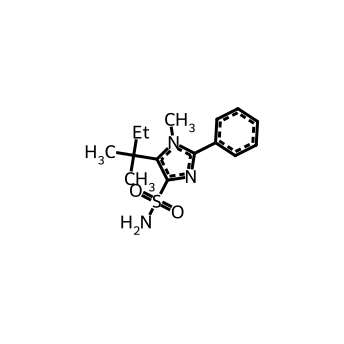 CCC(C)(C)c1c(S(N)(=O)=O)nc(-c2ccccc2)n1C